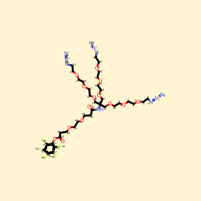 [N-]=[N+]=NCCOCCOCCOCC(COCCOCCOCCN=[N+]=[N-])(COCCOCCOCCN=[N+]=[N-])NC(=O)CCOCCOCCC(=O)Oc1c(F)c(F)c(F)c(F)c1F